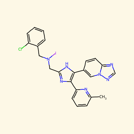 Cc1cccc(-c2nc(CN(I)Cc3ccccc3Cl)[nH]c2-c2ccc3ncnn3c2)n1